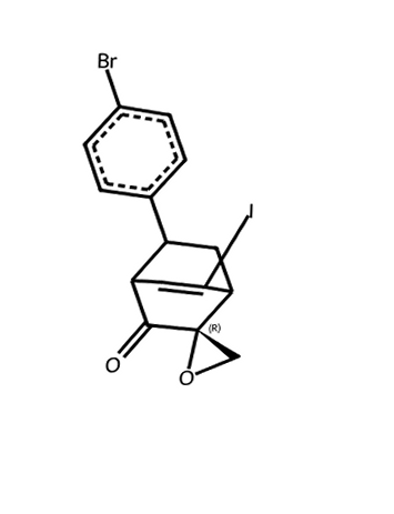 O=C1C2C=C(I)C(CC2c2ccc(Br)cc2)[C@@]12CO2